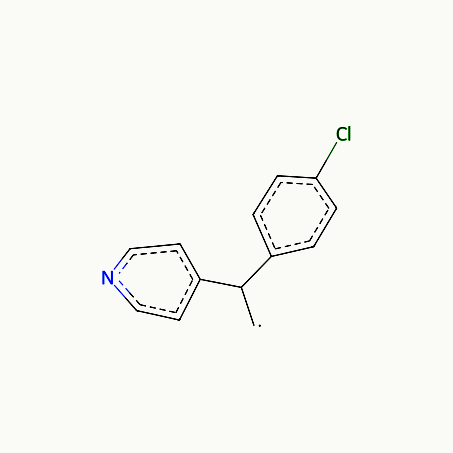 [CH2]C(c1ccncc1)c1ccc(Cl)cc1